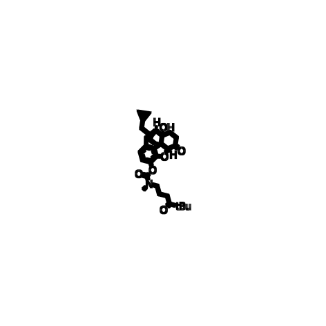 CN(CCCC(=O)C(C)(C)C)C(=O)Oc1ccc2c3c1O[C@H]1C(=O)CC[C@@]4(O)[C@@H](C2)C(CC2CC2)CC[C@]314